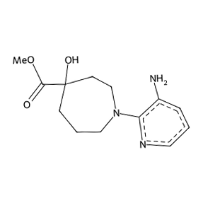 COC(=O)C1(O)CCCN(c2ncccc2N)CC1